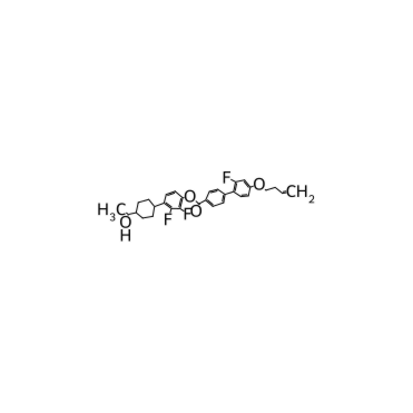 C=CCCOc1ccc(-c2ccc(C(=O)Oc3ccc(C4CCC(C(C)O)CC4)c(F)c3F)cc2)c(F)c1